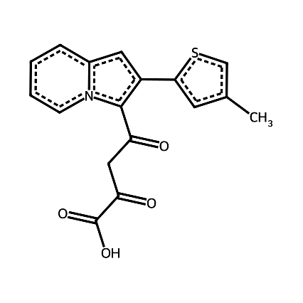 Cc1csc(-c2cc3ccccn3c2C(=O)CC(=O)C(=O)O)c1